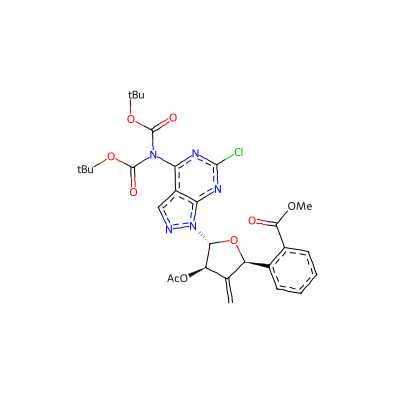 C=C1[C@H](c2ccccc2C(=O)OC)O[C@@H](n2ncc3c(N(C(=O)OC(C)(C)C)C(=O)OC(C)(C)C)nc(Cl)nc32)[C@@H]1OC(C)=O